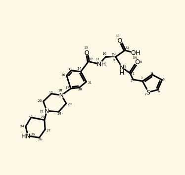 O=C(Cc1cccs1)N[C@@H](CNC(=O)c1ccc(N2CCN(C3CCNCC3)CC2)cc1)C(=O)O